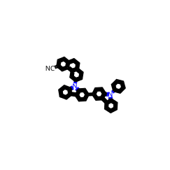 N#Cc1ccc2ccc3ccc(-n4c5ccccc5c5ccc(-c6ccc7c(c6)c6ccccc6n7-c6ccccc6)cc54)cc3c2c1